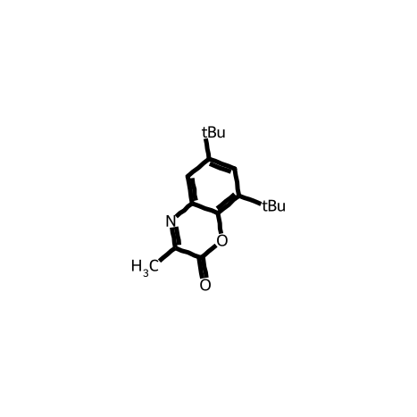 Cc1nc2cc(C(C)(C)C)cc(C(C)(C)C)c2oc1=O